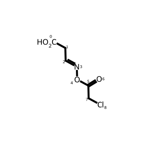 O=C(O)CC=NOC(=O)CCl